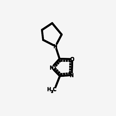 Cc1noc(N2CCCC2)n1